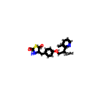 CC(=O)OC(COc1ccc(CC2NC(=O)SC2=O)cc1)c1ncccc1C